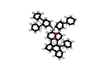 c1ccc(-c2ccc(N(c3ccc(-c4cccc5c4c(-c4ccccc4)c(-c4ccccc4)c4ccccc45)cc3)c3ccc(-c4ccccc4)c(-c4ccccc4)c3)cc2)cc1